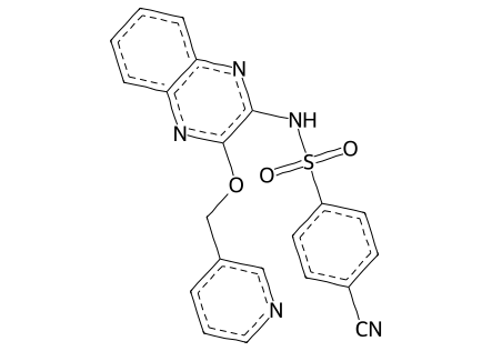 N#Cc1ccc(S(=O)(=O)Nc2nc3ccccc3nc2OCc2cccnc2)cc1